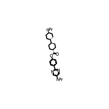 CCCc1cnc(-c2ccc(OC(=O)[C@H]3CC[C@H]([C@H]4CC[C@H](CCC)CC4)CC3)cc2)nc1